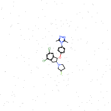 Cc1nnc(C)n1-c1ccc(O[C@H]2c3cc(Cl)cc(Cl)c3C[C@@H]2N2CCC(F)C2)cc1